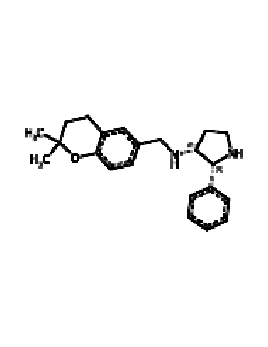 CC1(C)CCc2cc(CN[C@@H]3CCN[C@@H]3c3ccccc3)ccc2O1